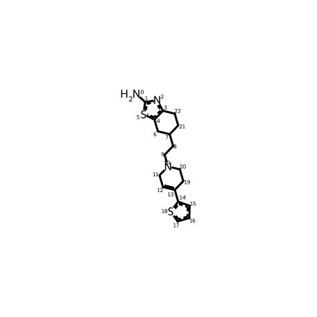 Nc1nc2c(s1)CC(CCN1CC=C(c3cccs3)CC1)CC2